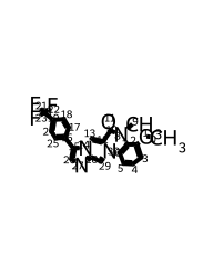 COc1ccccc1N(C)C(=O)c1cn2c(-c3ccc(C(F)(F)F)cc3)cnc2cn1